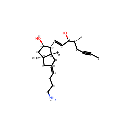 CC#CC[C@@H](C)[C@H](O)C=C[C@@H]1[C@H]2CC(=CCCCN)C[C@H]2C[C@H]1O